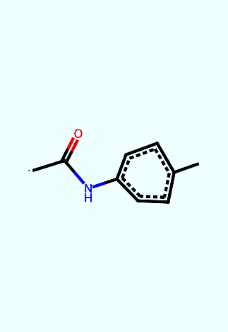 [CH2]C(=O)Nc1ccc(C)cc1